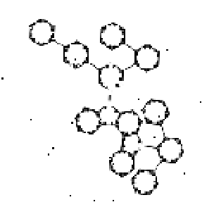 c1ccc(-c2ccc(-c3c[n+](-n4c5ccccc5c5c6c7ccccc7n(-c7c(-c8ccccc8)cccc7-c7ccccc7)c6ccc54)nc(-c4ccccc4-c4ccccc4)n3)cc2)cc1